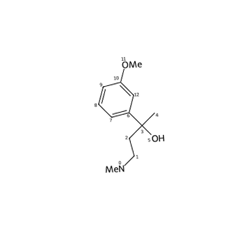 CNCCC(C)(O)c1cccc(OC)c1